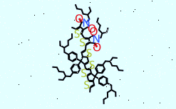 CCCCC(CC)Cc1ccc(C2(c3ccc(CC(CC)CCCC)cc3)c3cc(C)sc3-c3sc4c5c(sc4c32)C2SC(c3sc(-c4sc(C)c6c4C(=O)N(CC(CC)CCCC)C6=O)c4c3C(=O)N(CC(CC)CCCC)C4=O)=CC2C5(c2ccc(CC(CC)CCCC)cc2)c2ccc(CC(CC)CCCC)cc2)cc1